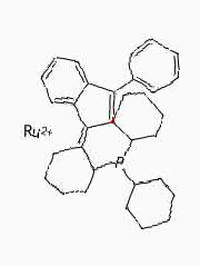 C1=C(c2ccccc2)c2ccccc2C1=C1CCCCC1P(C1CCCCC1)C1CCCCC1.[Ru+2]